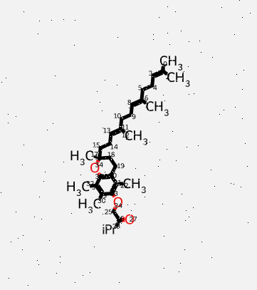 CC(C)=CCC/C(C)=C/CC/C(C)=C/CC[C@]1(C)CCc2c(C)c(OCC(=O)C(C)C)c(C)c(C)c2O1